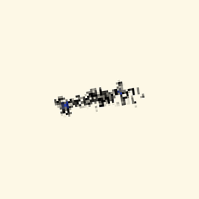 Cc1cc(C)cc(-n2c3ccccc3c3cc(-c4ccc5c(c4)C(C)(C)c4cc6c(cc4-5)C(C)(C)c4cc(-c5ccc(-c7ccc8c(c7)c7ccccc7n8-c7ccccc7)cc5)ccc4-6)ccc32)c1